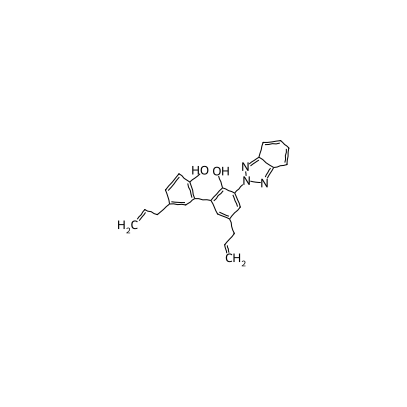 C=CCc1ccc(O)c(-c2cc(CC=C)cc(-n3nc4ccccc4n3)c2O)c1